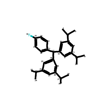 CC(C)c1cc(C(C)C)cc(C(c2ccc(F)cc2)c2cc(C(C)C)cc(C(C)C)c2)c1